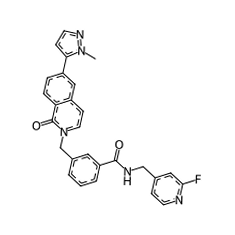 Cn1nccc1-c1ccc2c(=O)n(Cc3cccc(C(=O)NCc4ccnc(F)c4)c3)ccc2c1